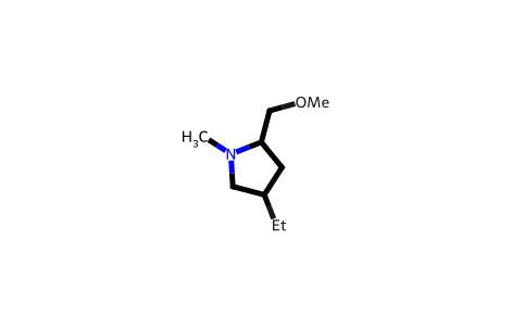 CCC1CC(COC)N(C)C1